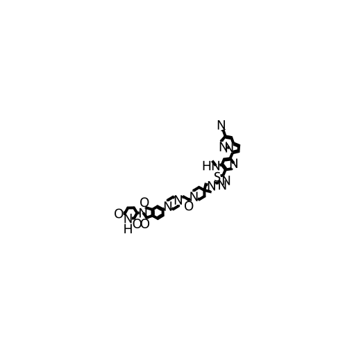 CNc1cc(-c2ccc3cc(C#N)cnn23)ncc1-c1nnc(N2CC3(CCN(C(=O)CN4CCN(c5ccc6c(c5)C(=O)N(C5CCC(=O)NC5=O)C6=O)CC4)CC3)C2)s1